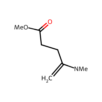 C=C(CCC(=O)OC)NC